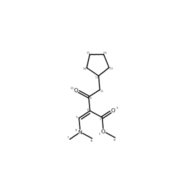 COC(=O)/C(=C\N(C)C)C(=O)CC1CCCC1